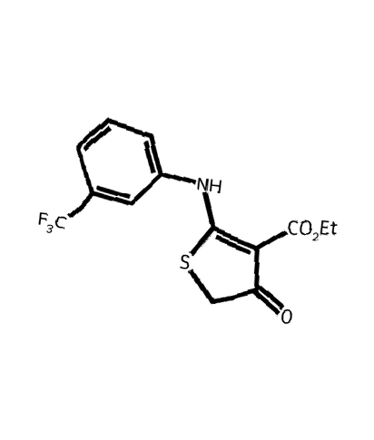 CCOC(=O)C1=C(Nc2cccc(C(F)(F)F)c2)SCC1=O